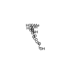 COC(CO)C(O)C(O)n1ccc(NC(=O)CCC(=O)OC2CCC3(C)C(=CCC4C3CCC3(C)C5CC(CCC(C)CO)OC5CC43)C2)nc1=O